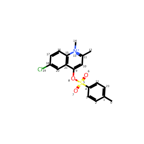 Cc1ccc(S(=O)(=O)Oc2cc(C)[n+](C)c3ccc(Cl)cc23)cc1